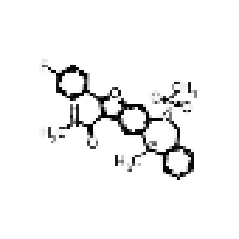 CNC(=O)c1c(-c2ccc(F)cc2)oc2cc3c(cc12)[C@H](C)c1ccccc1CN3S(C)(=O)=O